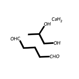 CC(O)CO.O=CCCCC=O.[CaH2]